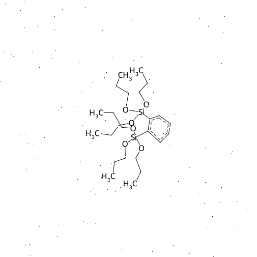 CCCO[Si](OCCC)(OCCC)c1ccccc1[Si](OCCC)(OCCC)OCCC